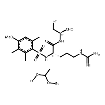 CCOC(C)OCC.COc1cc(C)c(S(=O)(=O)N[C@@H](CCCNC(=N)N)C(=O)N[C@H](C=O)CC(C)C)c(C)c1C